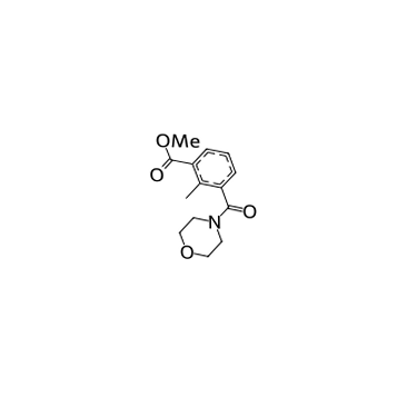 COC(=O)c1cccc(C(=O)N2CCOCC2)c1C